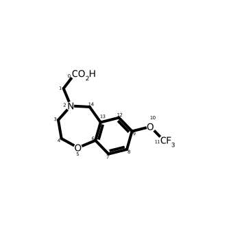 O=C(O)CN1CCOc2ccc(OC(F)(F)F)cc2C1